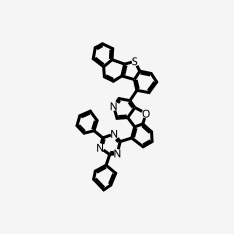 c1ccc(-c2nc(-c3ccccc3)nc(-c3cccc4oc5c(-c6cccc7sc8c9ccccc9ccc8c67)cncc5c34)n2)cc1